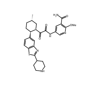 COc1ncc(NC(=O)C(=O)N2C[C@@H](C)CC[C@@H]2c2ccc3sc(C4CCNCC4)nc3c2)cc1C(N)=O